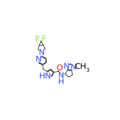 Cn1cnc2c1CC[C@H]2NC(=O)c1c[nH]c(Cc2ccc(N3CC4C(C3)C4(F)F)nc2)c1